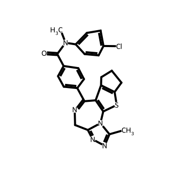 Cc1nnc2n1-c1sc3c(c1C(c1ccc(C(=O)N(C)c4ccc(Cl)cc4)cc1)=NC2)CCC3